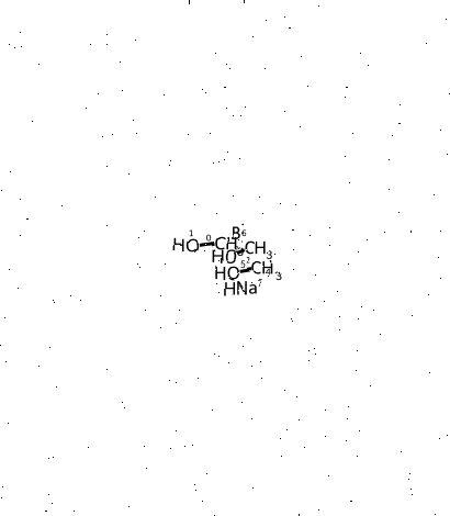 CO.CO.CO.[B].[NaH]